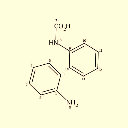 Nc1ccccc1.O=C(O)Nc1ccccc1